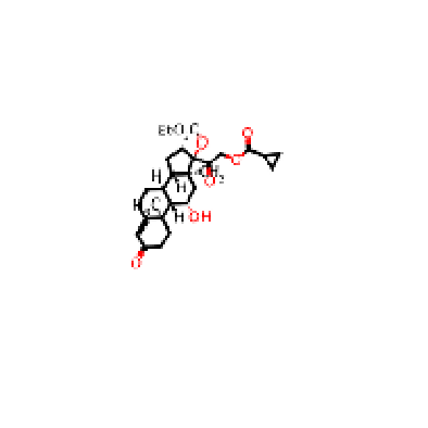 CCOC(=O)O[C@]1(C(=O)COC(=O)C2CC2)CC[C@H]2[C@@H]3CCC4=CC(=O)CC[C@]4(C)[C@H]3[C@@H](O)C[C@@]21C